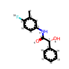 Cc1cc(NC(=O)[C@H](O)c2ccccc2)ccc1F